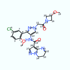 COc1ccc(Cl)cc1-c1nn(CC(=O)N2CC(OC)C2)cc1NC(=O)c1cnn2c1N=CCC2